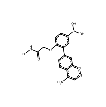 CC(C)NC(=O)COc1ccc(B(O)O)cc1-c1ccc2c(N)cnnc2c1